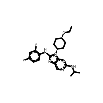 CCO[C@H]1CC[C@@H](n2c(Nc3ccc(F)cc3F)nc3cnc(NC(C)C)nc32)CC1